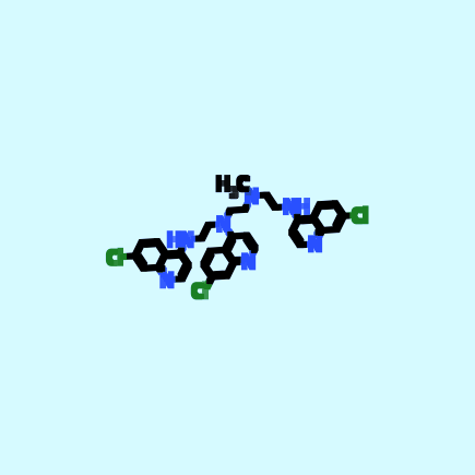 CN(CCNc1ccnc2cc(Cl)ccc12)CCN(CCNc1ccnc2cc(Cl)ccc12)c1ccnc2cc(Cl)ccc12